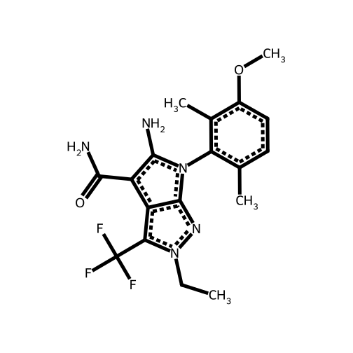 CCn1nc2c(c(C(N)=O)c(N)n2-c2c(C)ccc(OC)c2C)c1C(F)(F)F